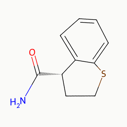 NC(=O)[C@H]1CCSc2ccccc21